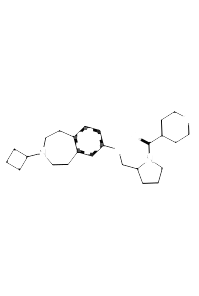 O=C(C1CCOCC1)N1CCCC1COc1ccc2c(c1)CCN(C1CCC1)CC2